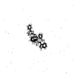 O=C(O[C@H]1C[N+]2(Cc3noc(-c4ccccc4)n3)CCC1CC2)C(Nc1ccccc1)c1csc2ccccc12.[Cl-]